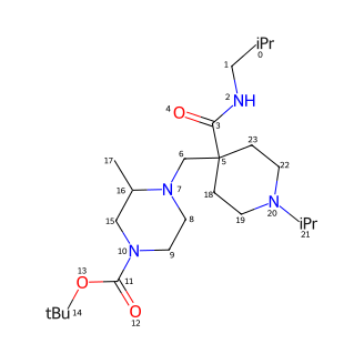 CC(C)CNC(=O)C1(CN2CCN(C(=O)OC(C)(C)C)CC2C)CCN(C(C)C)CC1